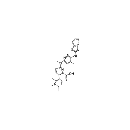 C=C/C(=C(/C)N(C)CC)c1ccc(N(C)c2cc(C)c(Nc3nc4ccccc4s3)nn2)nc1C(=O)O